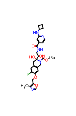 Cc1ncoc1COc1cc2c(cc1F)C[C@](O)([C@H](O)CNC(=O)c1ccnc(NC3CCC3)c1)N(C(=O)OC(C)(C)C)C2